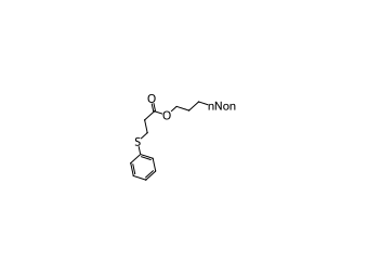 CCCCCCCCCCCCOC(=O)CCSc1ccccc1